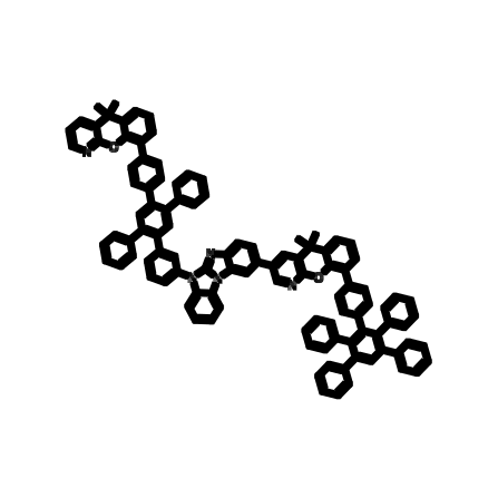 CC1(C)c2cccnc2Oc2c(-c3ccc(-c4cc(-c5ccccc5)c(-c5cccc(-n6c7ccccc7n7c8cc(-c9cnc%10c(c9)C(C)(C)c9cccc(-c%11ccc(-c%12c(-c%13ccccc%13)c(-c%13ccccc%13)cc(-c%13ccccc%13)c%12-c%12ccccc%12)cc%11)c9O%10)ccc8nc67)c5)cc4-c4ccccc4)cc3)cccc21